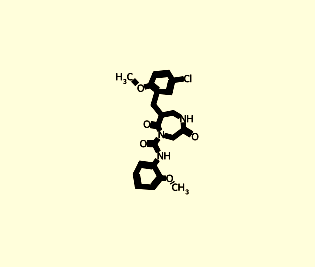 COc1ccc(Cl)cc1CC1CNC(=O)CN(C(=O)Nc2ccccc2OC)C1=O